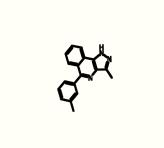 Cc1cccc(-c2nc3c(C)n[nH]c3c3ccccc23)c1